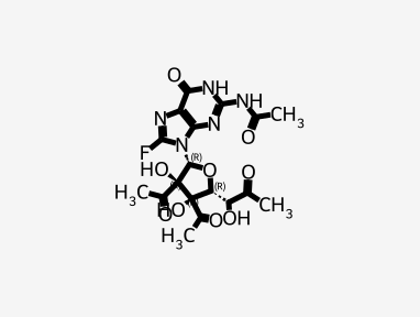 CC(=O)Nc1nc2c(nc(F)n2[C@@H]2O[C@H](C(O)C(C)=O)[C@](O)(C(C)=O)[C@]2(O)C(C)=O)c(=O)[nH]1